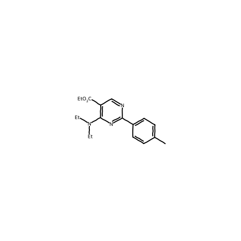 CCOC(=O)c1cnc(-c2ccc(C)cc2)nc1N(CC)CC